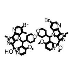 COC(=O)c1nn(C)c2c3ncc(Br)cc3n(C(c3cnccc3OC)C3CCOCC3)c12.COc1ccncc1C(C1CCOCC1)n1c2c(C)c(Br)cnc2c2c1c(C(=O)O)nn2C